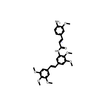 COc1cc(/C=C/C(=O)Nc2cc(C=Cc3cc(OC)c(OC)c(OC)c3)cc(OC)c2OC)ccc1N